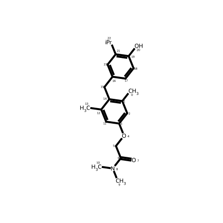 Cc1cc(OCC(=O)N(C)C)cc(C)c1Cc1ccc(O)c(C(C)C)c1